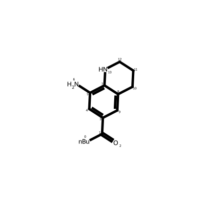 CCCCC(=O)c1cc(N)c2c(c1)CCCN2